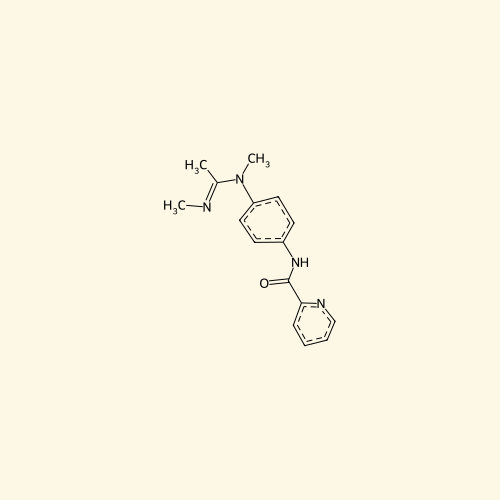 CN=C(C)N(C)c1ccc(NC(=O)c2ccccn2)cc1